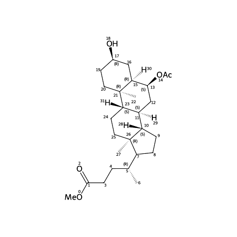 COC(=O)CC[C@@H](C)C1CC[C@H]2[C@@H]3C[C@H](OC(C)=O)[C@@H]4C[C@H](O)CC[C@]4(C)[C@H]3CC[C@]12C